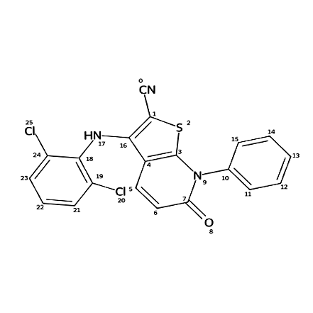 N#Cc1sc2c(ccc(=O)n2-c2ccccc2)c1Nc1c(Cl)cccc1Cl